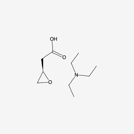 CCN(CC)CC.O=C(O)C[C@@H]1CO1